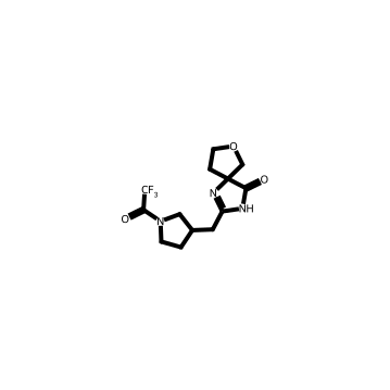 O=C(N1CCC(CC2=NC3(CCOC3)C(=O)N2)C1)C(F)(F)F